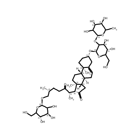 CC1O[C@@H](OC2[C@H](O[C@H]3CC[C@@]4(C)C(=CC[C@H]5[C@@H]6CC(=O)[C@H]([C@H](C)C(=O)CC[C@@H](C)CO[C@@H]7OC(CO)[C@@H](O)[C@H](O)C7O)[C@@]6(C)CC[C@@H]54)C3)OC(CO)[C@@H](O)[C@@H]2O)C(O)[C@@H](O)[C@H]1O